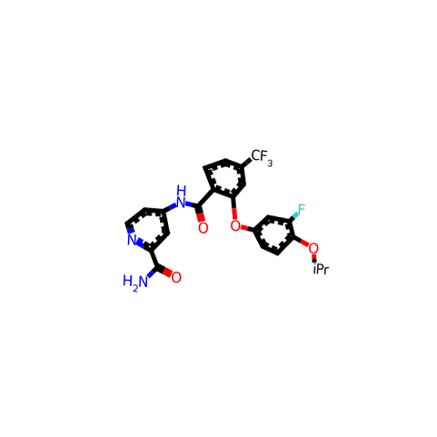 CC(C)Oc1ccc(Oc2cc(C(F)(F)F)ccc2C(=O)Nc2ccnc(C(N)=O)c2)cc1F